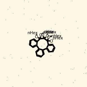 CCCCCCOC1(OCCCCCC)c2ccccc2-c2ccccc2-c2ccccc2C(OCCCCCC)(OCCCCCC)C1(OCCCCCC)OCCCCCC